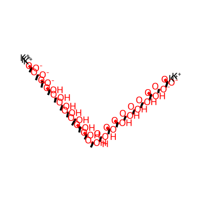 CC(=O)O.CC(=O)O.CC(=O)O.CC(=O)O.CC(=O)O.CC(=O)O.CC(=O)O.CC(=O)O.CC(=O)O.CC(=O)O.CC(=O)O.CC(=O)O.CC(=O)O.CC(=O)O.CC(=O)O.CC(=O)[O-].CC(=O)[O-].CC(=O)[O-].CC(=O)[O-].CC(=O)[O-].[K+].[K+].[K+].[K+].[K+]